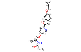 CC(=O)N[C@@H](C)COc1ccc(C2Cc3ccc(OCC4CC4)cc3O2)nc1